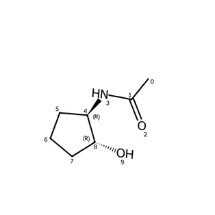 CC(=O)N[C@@H]1CCC[C@H]1O